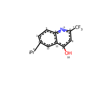 CC(C)c1ccc2nc(C(F)(F)F)cc(O)c2c1